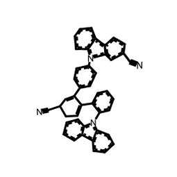 N#Cc1ccc2c3ccccc3n(-c3ccc(C4=CC(C#N)CC=C4c4ccccc4-n4c5ccccc5c5ccccc54)cc3)c2c1